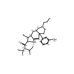 CCCN1CCC2(c3cccc(O)c3)C=C3NC(C(=O)N(C(C)C)C(C)C)C(C)C3CC2C1